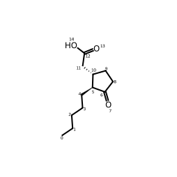 CCCCC[C@@H]1C(=O)CC[C@H]1CC(=O)O